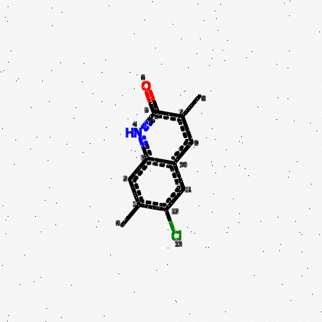 Cc1cc2[nH]c(=O)c(C)cc2cc1Cl